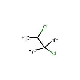 CCCC(C)(Cl)C(C)Cl